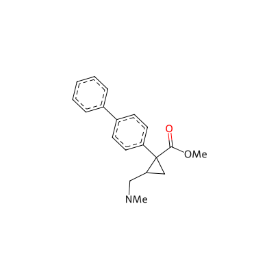 CNCC1CC1(C(=O)OC)c1ccc(-c2ccccc2)cc1